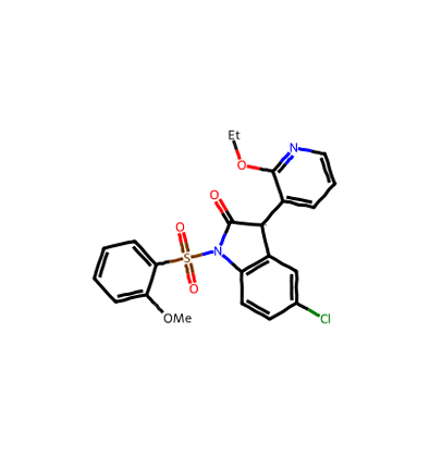 CCOc1ncccc1[C]1C(=O)N(S(=O)(=O)c2ccccc2OC)c2ccc(Cl)cc21